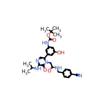 CC(C)Nc1ncc(-c2cc(O)cc(NC(=O)OC(C)(C)C)c2)n(CC(=O)NCc2ccc(C#N)cc2)c1=O